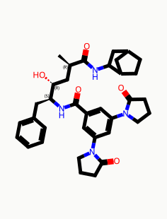 C[C@H](C[C@@H](O)[C@H](Cc1ccccc1)NC(=O)c1cc(N2CCCC2=O)cc(N2CCCC2=O)c1)C(=O)NC1CC2CCC1C2